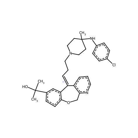 CC1(Nc2ccc(Cl)cc2)CCN(CC/C=C2/c3cc(C(C)(C)O)ccc3OCc3ncccc32)CC1